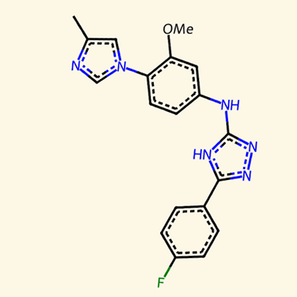 COc1cc(Nc2nnc(-c3ccc(F)cc3)[nH]2)ccc1-n1cnc(C)c1